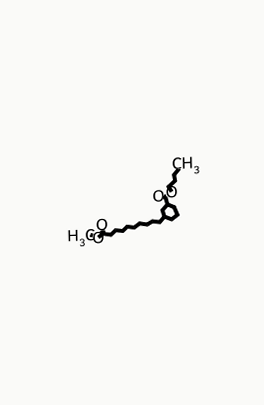 CCCCCOC(=O)C1CCCC(CCCCCCCCCC(=O)OC)C1